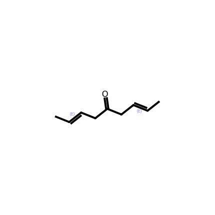 C/C=C/CC(=O)C/C=C/C